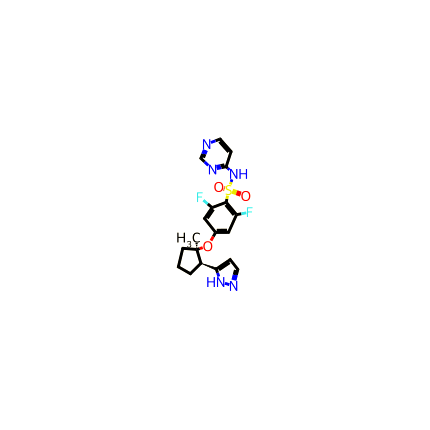 C[C@@]1(Oc2cc(F)c(S(=O)(=O)Nc3ccncn3)c(F)c2)CCC[C@@H]1c1ccn[nH]1